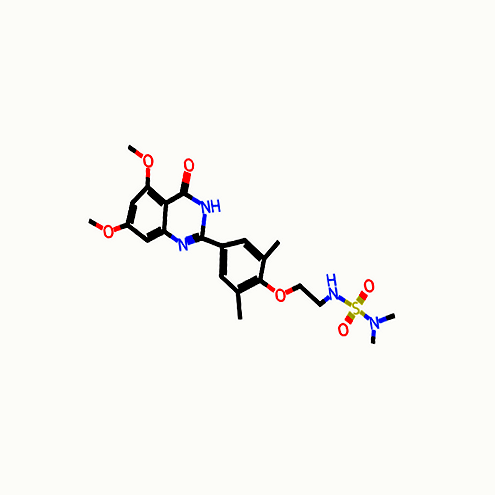 COc1cc(OC)c2c(=O)[nH]c(-c3cc(C)c(OCCNS(=O)(=O)N(C)C)c(C)c3)nc2c1